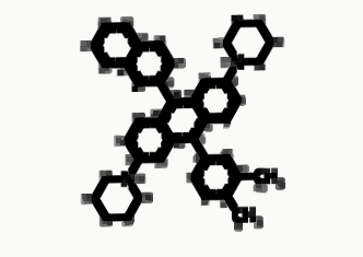 Cc1ccc(-c2c3ccc(N4CCCCC4)cc3c(-c3ccc4ccccc4c3)c3ccc(N4CCCCC4)cc23)cc1C